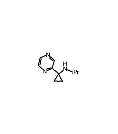 CC(C)NC1(c2cnccn2)CC1